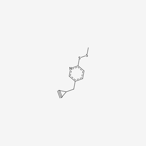 CSSc1ccc(CC2C#C2)cn1